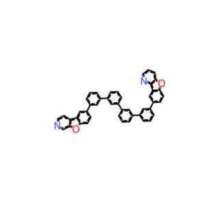 c1cc(-c2cccc(-c3cccc(-c4ccc5oc6cccnc6c5c4)c3)c2)cc(-c2cccc(-c3ccc4oc5cnccc5c4c3)c2)c1